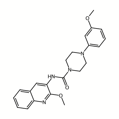 COc1cccc(N2CCN(C(=O)Nc3cc4ccccc4nc3OC)CC2)c1